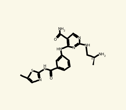 Cc1cnc(NC(=O)c2cccc(Nc3nc(NC[C@H](C)N)ncc3C(N)=O)c2)s1